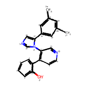 Oc1ccccc1-c1ccncc1-n1cncc1-c1cc(C(F)(F)F)cc(C(F)(F)F)c1